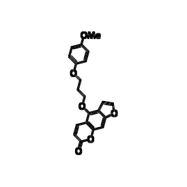 COc1ccc(OCCCOc2c3ccoc3cc3oc(=O)ccc23)cc1